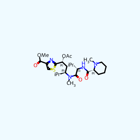 COC(=O)c1csc([C@@H](C[C@H](C(C)C)N(C)C(=O)[C@@H](NC(=O)[C@H]2CCCCN2C)C(C)C)OC(C)=O)n1